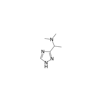 CC(c1nc[nH]n1)N(C)C